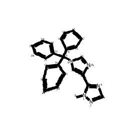 Cn1ncnc1-c1cn(C(c2ccccc2)(c2ccccc2)c2ccccc2)cn1